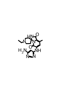 CCN1CCC2(CC1)NC(=O)c1c(C)cc(Nc3cc(N)ncn3)c(=O)n12